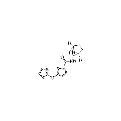 O=C(N[C@@H]1C[C@H]2CC[C@@H]1N2)c1ccc(Oc2nccs2)s1